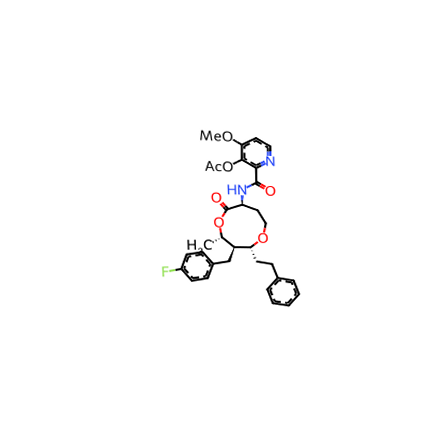 COc1ccnc(C(=O)N[C@H]2CCO[C@H](CCc3ccccc3)[C@@H](Cc3ccc(F)cc3)[C@H](C)OC2=O)c1OC(C)=O